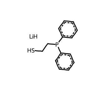 SCCP(c1ccccc1)c1ccccc1.[LiH]